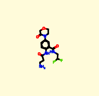 NCCC(=O)Nc1ccc(N2CCOCC2=O)cc1C(=O)NCC(F)F